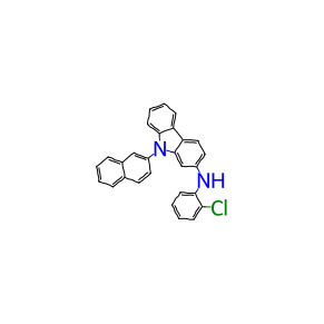 Clc1ccccc1Nc1ccc2c3ccccc3n(-c3ccc4ccccc4c3)c2c1